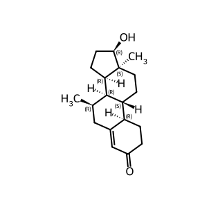 C[C@@H]1CC2=CC(=O)CC[C@@H]2[C@H]2CC[C@]3(C)[C@H](O)CC[C@@H]3[C@@H]21